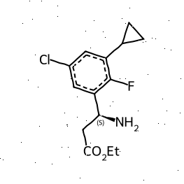 CCOC(=O)C[C@H](N)c1cc(Cl)cc(C2CC2)c1F